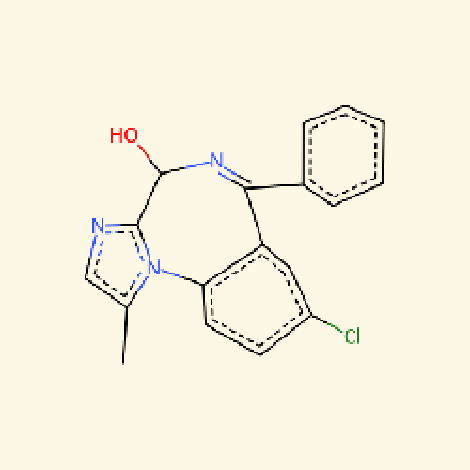 Cc1cnc2n1-c1ccc(Cl)cc1C(c1ccccc1)=NC2O